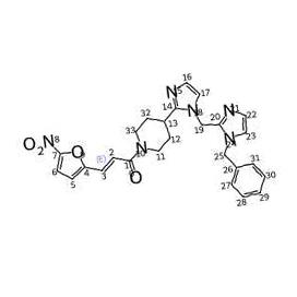 O=C(/C=C/c1ccc([N+](=O)[O-])o1)N1CCC(c2nccn2Cc2nccn2Cc2ccccc2)CC1